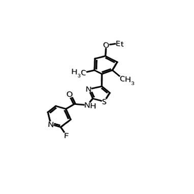 CCOc1cc(C)c(-c2csc(NC(=O)c3ccnc(F)c3)n2)c(C)c1